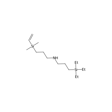 C=C[Si](C)(C)CCCNCCC[Si](CC)(CC)CC